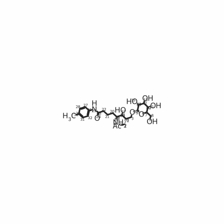 CC(=O)C[C@@H](CO[C@H]1OC(CO)[C@H](O)C(O)[C@@H]1O)[C@H](O)[C@H](N)CCCC(=O)Nc1ccc(C)cc1